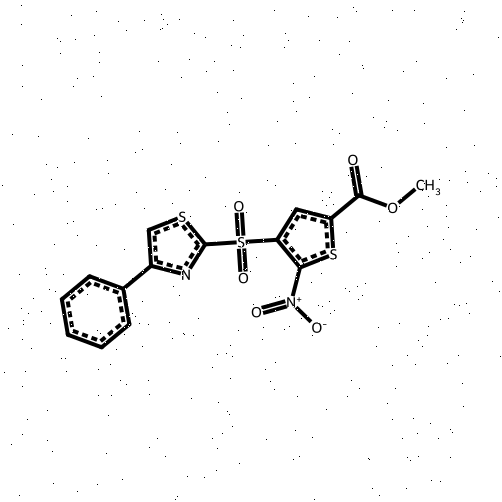 COC(=O)c1cc(S(=O)(=O)c2nc(-c3ccccc3)cs2)c([N+](=O)[O-])s1